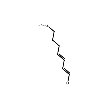 CCCCCCCCC=CC=C[O]